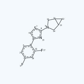 Fc1ccc(-c2csc(N3CC4CC4C3)n2)c(F)c1